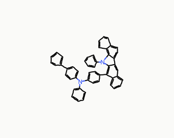 c1ccc(-c2ccc(N(c3ccccc3)c3ccc(-c4c5ccccc5cc5c6ccc7ccccc7c6n(-c6ccccc6)c45)cc3)cc2)cc1